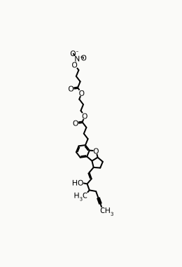 CC#CCC(C)C(O)/C=C/C1CCC2Oc3c(CCCC(=O)OCCCOC(=O)CCCO[N+](=O)[O-])cccc3C12